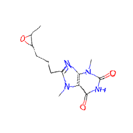 CC1OC1CCCc1nc2c(c(=O)[nH]c(=O)n2C)n1C